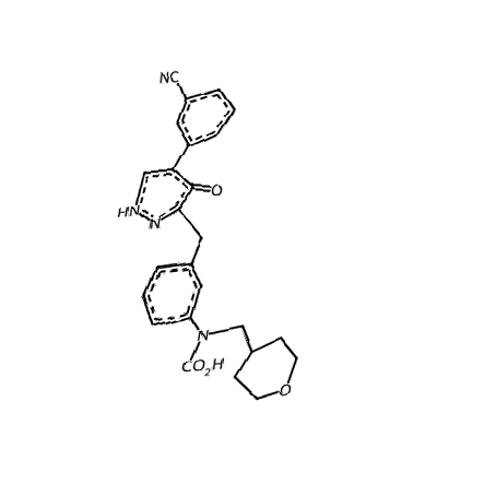 N#Cc1cccc(-c2c[nH]nc(Cc3cccc(N(CC4CCOCC4)C(=O)O)c3)c2=O)c1